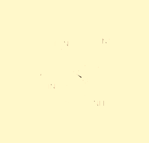 NC(=O)O[C@]1(c2ccncc2N)CCCNC1